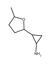 CC1CCC(C2CC2N)O1